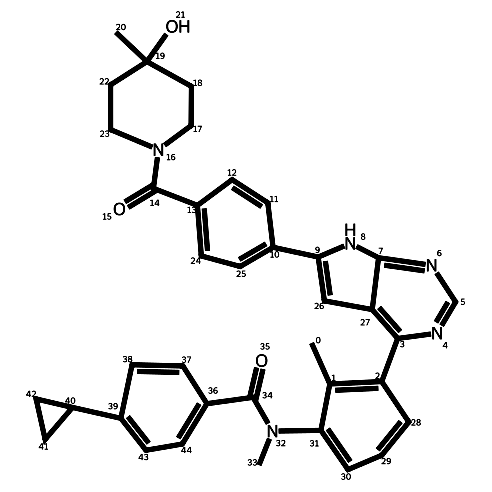 Cc1c(-c2ncnc3[nH]c(-c4ccc(C(=O)N5CCC(C)(O)CC5)cc4)cc23)cccc1N(C)C(=O)c1ccc(C2CC2)cc1